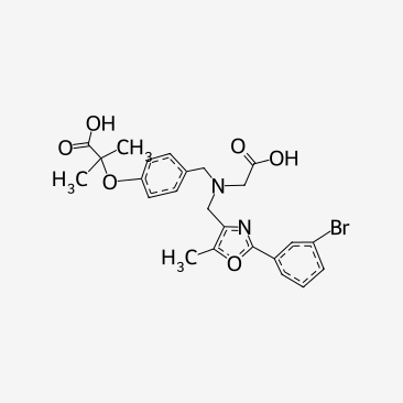 Cc1oc(-c2cccc(Br)c2)nc1CN(CC(=O)O)Cc1ccc(OC(C)(C)C(=O)O)cc1